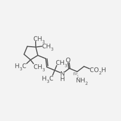 CC(C)(C=CC1C(C)(C)CCC1(C)C)NC(=O)[C@@H](N)CC(=O)O